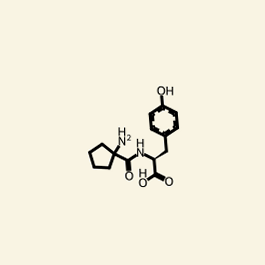 NC1(C(=O)N[C@@H](Cc2ccc(O)cc2)C(=O)O)CCCC1